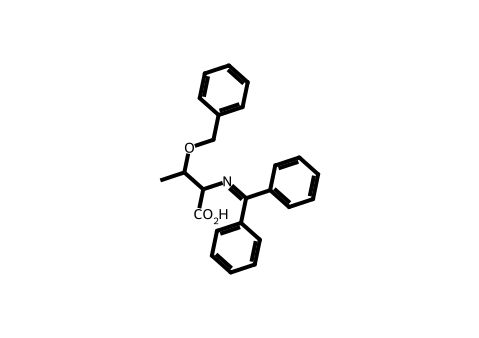 CC(OCc1ccccc1)C(N=C(c1ccccc1)c1ccccc1)C(=O)O